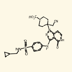 N#CCC1(n2nc(Nc3ccc(S(=O)(=O)NCC4CC4)cc3)c3c(=O)[nH]ccc32)CCN(C(=O)O)CC1